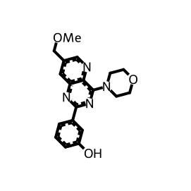 COCc1cnc2c(N3CCOCC3)nc(-c3cccc(O)c3)nc2c1